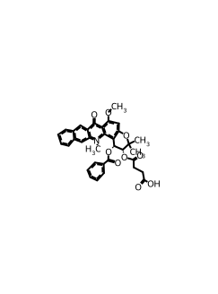 COc1cc2c(c3c1c(=O)c1cc4ccccc4cc1n3C)[C@@H](OC(=O)c1ccccc1)[C@@H](OC(=O)CCC(=O)O)C(C)(C)O2